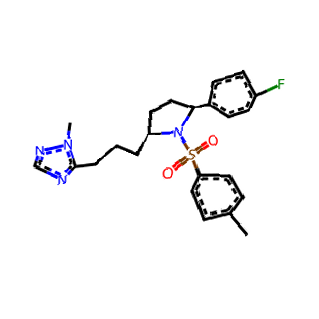 Cc1ccc(S(=O)(=O)N2[C@@H](CCCc3ncnn3C)CC[C@H]2c2ccc(F)cc2)cc1